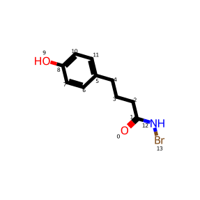 O=C(CCCc1ccc(O)cc1)NBr